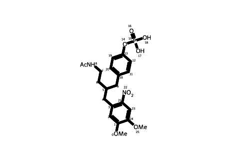 COc1cc(CC(CCNC(C)=O)Cc2ccc(OP(=O)(O)O)cc2)c([N+](=O)[O-])cc1OC